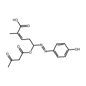 CC(=O)CC(=O)OC(CC=C(C)C(=O)O)N=Nc1ccc(O)cc1